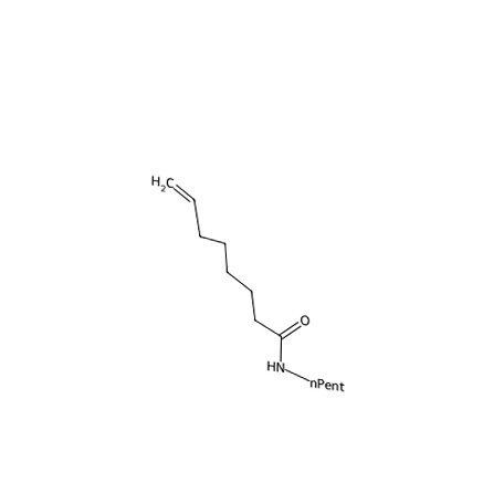 C=CCCCCCC(=O)NCCCCC